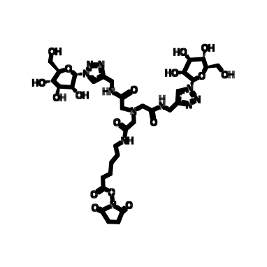 O=C(CN(CC(=O)NCc1cn([C@H]2O[C@H](CO)[C@@H](O)[C@H](O)[C@@H]2O)nn1)CC(=O)NCc1cn([C@H]2O[C@H](CO)[C@@H](O)[C@H](O)[C@@H]2O)nn1)NCCCCCC(=O)ON1C(=O)CCC1=O